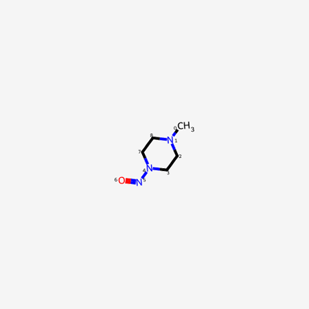 CN1CCN(N=O)CC1